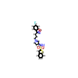 O=S(=O)(NC1CCN(CCCc2noc3cc(F)ccc23)C1)c1cc2ccccc2s1